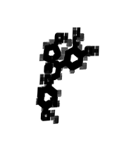 Cc1cnc(NCC(c2ccc(O)c(C)c2)P2(=O)CC[C@@H](C)C2)cn1